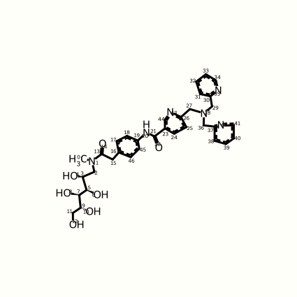 CN(C[C@H](O)[C@@H](O)[C@H](O)[C@H](O)CO)C(=O)Cc1ccc(NC(=O)c2ccc(CN(Cc3ccccn3)Cc3ccccn3)nc2)cc1